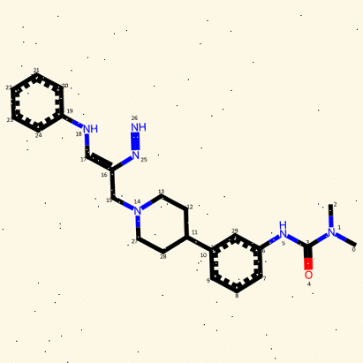 CN(C)C(=O)Nc1cccc(C2CCN(C/C(=C/Nc3ccccc3)N=N)CC2)c1